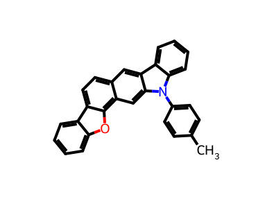 Cc1ccc(-n2c3ccccc3c3cc4ccc5c6ccccc6oc5c4cc32)cc1